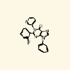 O=c1c2ncn(-c3ccccc3)c2nc(-c2ccccc2F)n1-c1cccnc1